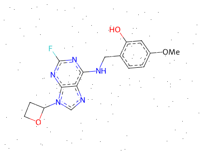 COc1ccc(CNc2nc(F)nc3c2ncn3C2CCO2)c(O)c1